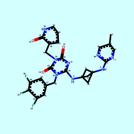 Cc1cnc(NC23CC(Nc4nc(=O)n(Cc5ccc[nH]c5=O)c(=O)n4Cc4cc(F)c(F)c(F)c4)(C2)C3)nc1